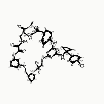 COC(=O)[C@H](CNC(=O)C(=O)Nc1cccc(OCc2ccccc2)c1)NC(=O)c1ccc(Nc2nc(NC3(c4ccc(Cl)cc4)CC3)nc(OCC(F)(F)F)n2)cc1